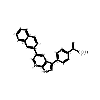 CC(C(=O)O)c1ccc(-c2c[nH]c3ncc(-c4ccc5ccccc5c4)cc23)cc1